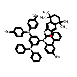 CC(C)(C)c1ccc(N(c2ccc(C(C)(C)C)cc2)c2cc(N(c3ccccc3)c3ccccc3)cc(N(c3cc4cc5c(cc4o3)C(C)(C)CCC5(C)C)c3ccc(C(C)(C)C)cc3-c3ccccc3)c2)cc1